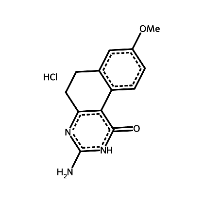 COc1ccc2c(c1)CCc1nc(N)[nH]c(=O)c1-2.Cl